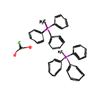 C[P+](c1ccccc1)(c1ccccc1)c1ccccc1.C[P+](c1ccccc1)(c1ccccc1)c1ccccc1.[O-]B([O-])F